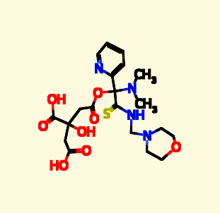 CN(C)C(OC(=O)CC(O)(CC(=O)O)C(=O)O)(C(=S)NCN1CCOCC1)c1ccccn1